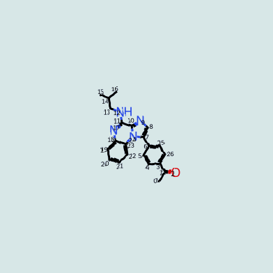 CC(=O)c1ccc(-c2cnc3c(NCC(C)C)nc4ccccc4n23)cc1